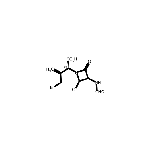 C=C(CBr)[C@@H](C(=O)O)N1C(=O)C(NC=O)C1Cl